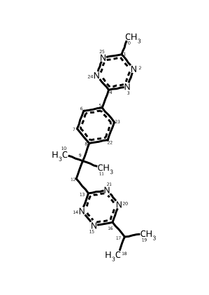 Cc1nnc(-c2ccc(C(C)(C)Cc3nnc(C(C)C)nn3)cc2)nn1